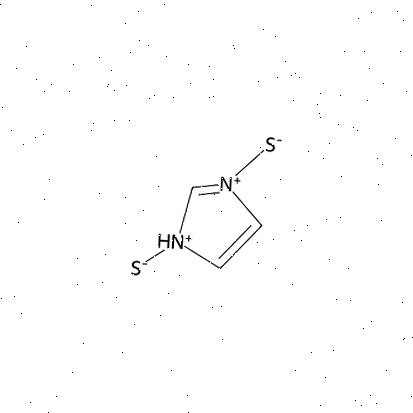 [S-][N+]1=C[NH+]([S-])C=C1